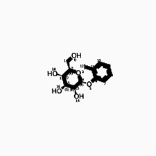 OC[C@H]1O[C@H](Oc2ccccc2I)[C@H](O)[C@@H](O)[C@@H]1O